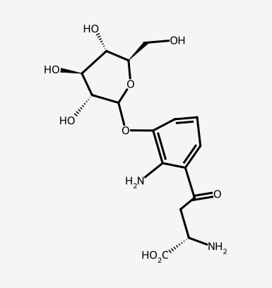 Nc1c(OC2O[C@H](CO)[C@@H](O)[C@H](O)[C@H]2O)cccc1C(=O)C[C@H](N)C(=O)O